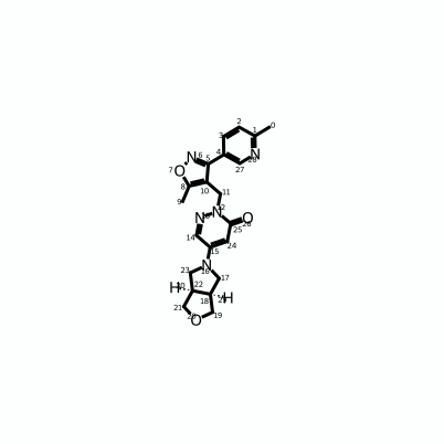 Cc1ccc(-c2noc(C)c2Cn2ncc(N3C[C@H]4COC[C@H]4C3)cc2=O)cn1